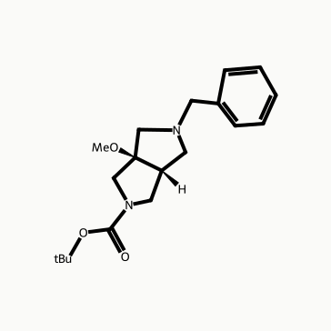 CO[C@@]12CN(Cc3ccccc3)C[C@@H]1CN(C(=O)OC(C)(C)C)C2